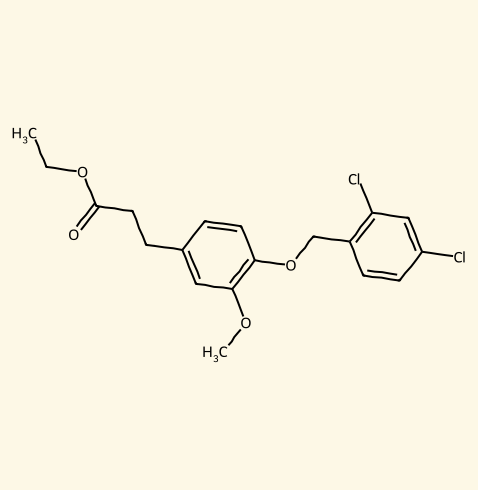 CCOC(=O)CCc1ccc(OCc2ccc(Cl)cc2Cl)c(OC)c1